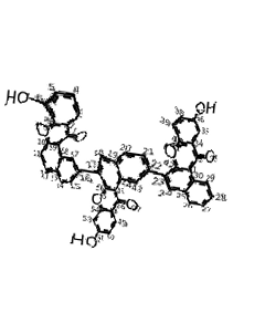 O=c1c2cccc(O)c2oc2ccc3ccc(-c4cc5ccc(-c6cc7ccccc7c7c(=O)c8cc(O)ccc8oc67)cc5c5c(=O)c6ccc(O)cc6oc45)cc3c12